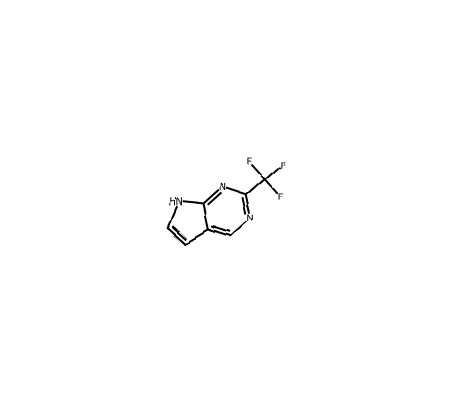 FC(F)(F)c1ncc2cc[nH]c2n1